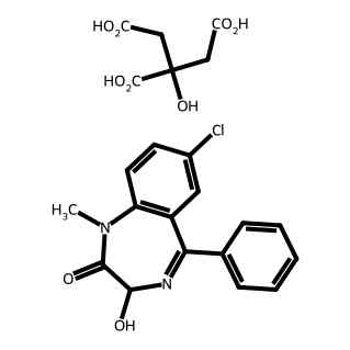 CN1C(=O)C(O)N=C(c2ccccc2)c2cc(Cl)ccc21.O=C(O)CC(O)(CC(=O)O)C(=O)O